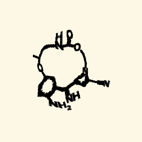 CC1CCNC(=O)OCCn2cc(cc2C#N)C(=N)c2cc(ccc2N)O1